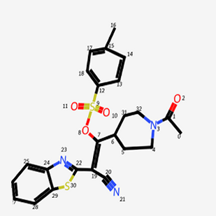 CC(=O)N1CCC(/C(OS(=O)(=O)c2ccc(C)cc2)=C(\C#N)c2nc3ccccc3s2)CC1